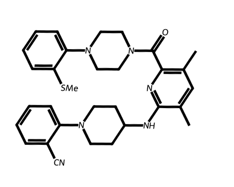 CSc1ccccc1N1CCN(C(=O)c2nc(NC3CCN(c4ccccc4C#N)CC3)c(C)cc2C)CC1